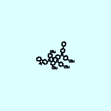 CC(C)(C)c1ccc(N(c2ccc(-c3ccccc3)cc2)c2ccc3c(c2)N(c2ccc(C(C)(C)C)cc2)c2cc(C(C)(C)C)cc4c2B3c2cc(C(C)(C)C)ccc2N4c2ccc3c(c2)-c2ccccc2C3(C)C)cc1